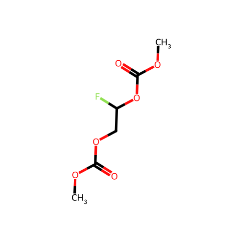 COC(=O)OCC(F)OC(=O)OC